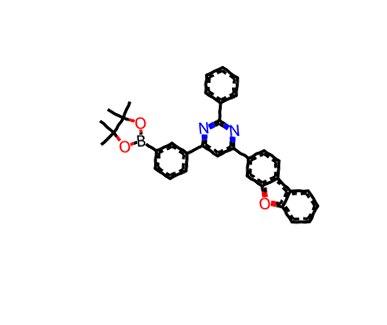 CC1(C)OB(c2cccc(-c3cc(-c4ccc5c(c4)oc4ccccc45)nc(-c4ccccc4)n3)c2)OC1(C)C